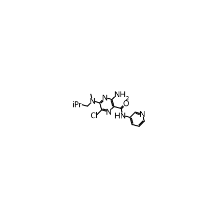 CC(C)CN(C)c1nc(N)c(C(=O)Nc2cccnc2)nc1Cl